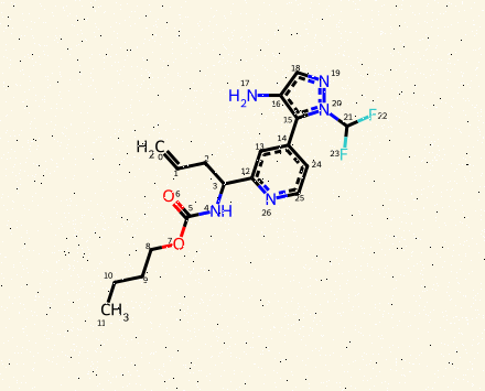 C=CCC(NC(=O)OCCCC)c1cc(-c2c(N)cnn2C(F)F)ccn1